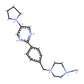 CC(=O)N1CCN(Cc2ccc(-c3ncc(N4CCCC4)cn3)cc2)CC1